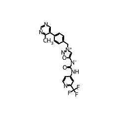 Cc1ncncc1-c1ccc(C[n+]2cc([N-]C(=O)Nc3ccnc(C(F)(F)F)c3)on2)cc1